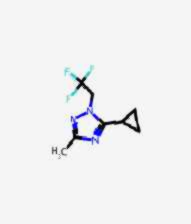 Cc1nc(C2CC2)n(CC(F)(F)F)n1